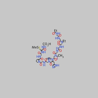 CCCN(C(=O)CN(C(=O)CNC(=O)CNC(=O)CN(CC)C(=O)CNC(=O)CNC(=O)CC)C(C)I)[C@@H](Cc1cnc[nH]1)C(=O)NCC(=O)NCC(=O)N1CCC[C@H]1C(=O)NCC(=O)N[C@@H](CSSC)C(=O)NCC(=O)O